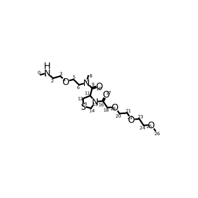 CNCCOCCN(C)C(=O)C1CSCN1C(=O)COCCOCCOC